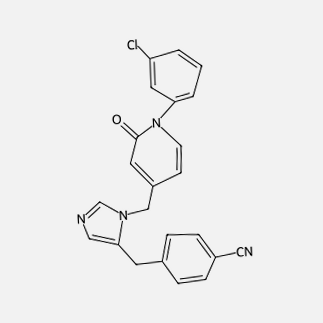 N#Cc1ccc(Cc2cncn2Cc2ccn(-c3cccc(Cl)c3)c(=O)c2)cc1